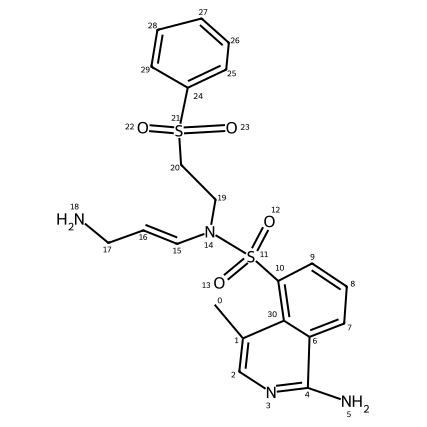 Cc1cnc(N)c2cccc(S(=O)(=O)N(C=CCN)CCS(=O)(=O)c3ccccc3)c12